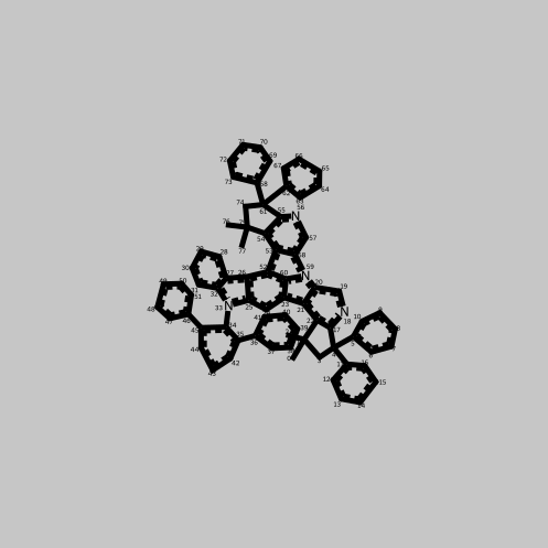 CC1(C)CC(c2ccccc2)(c2ccccc2)c2ncc3c(c21)c1cc2c(c4ccccc4n2-c2c(-c4ccccc4)cccc2-c2ccccc2)c2c4c5c(ncc4n3c12)C(c1ccccc1)(c1ccccc1)CC5(C)C